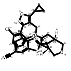 N#Cc1cc(F)c2nc(C3(O)[C@@H]4COC[C@H]3CC(OCc3c(-c5c(Cl)cccc5Cl)noc3C3CC3)C4)sc2c1